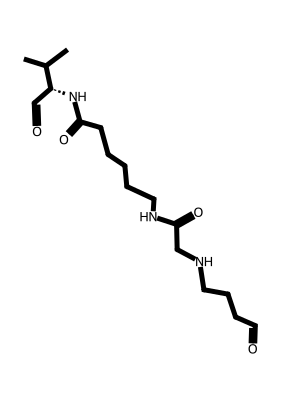 CC(C)[C@@H](C=O)NC(=O)CCCCCNC(=O)CNCCCC=O